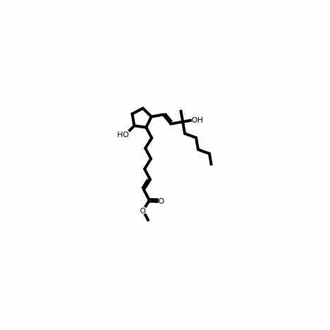 CCCCCC(C)(O)C=CC1CCC(O)C1CCCCC=CC(=O)OC